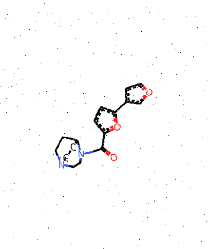 O=C(c1ccc(-c2ccoc2)o1)N1CCN2CCC1CC2